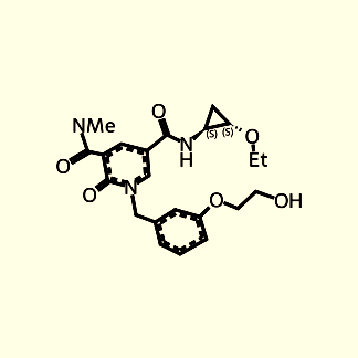 CCO[C@H]1C[C@@H]1NC(=O)c1cc(C(=O)NC)c(=O)n(Cc2cccc(OCCO)c2)c1